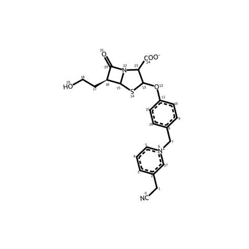 N#CCc1ccc[n+](Cc2ccc(OC3SC4[C@@H](CCO)C(=O)N4C3C(=O)[O-])cc2)c1